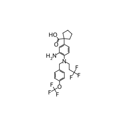 Nc1cc(C2(C(=O)O)CCCC2)ccc1N(CCC(F)(F)F)Cc1ccc(OC(F)(F)F)cc1